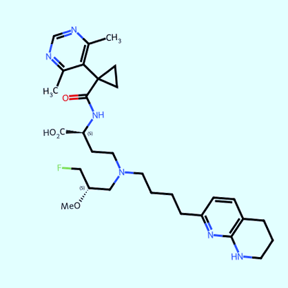 CO[C@H](CF)CN(CCCCc1ccc2c(n1)NCCC2)CC[C@H](NC(=O)C1(c2c(C)ncnc2C)CC1)C(=O)O